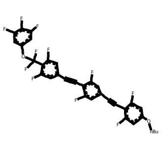 CCCCOc1cc(F)c(C#Cc2cc(F)c(C#Cc3cc(F)c(C(F)(F)Oc4cc(F)c(F)c(F)c4)c(F)c3)c(F)c2)c(F)c1